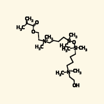 C=C(C)C(=O)OCC[N+](C)(C)CCCC[Si](C)(C)O[Si](C)(C)CCCC[N+](C)(C)CCO